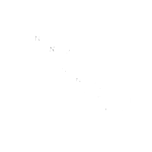 O=C(CN1CCN(c2ccc(-c3cc(F)cc(F)c3)cc2)CC1)N1CCN(C2CCC2)CC1